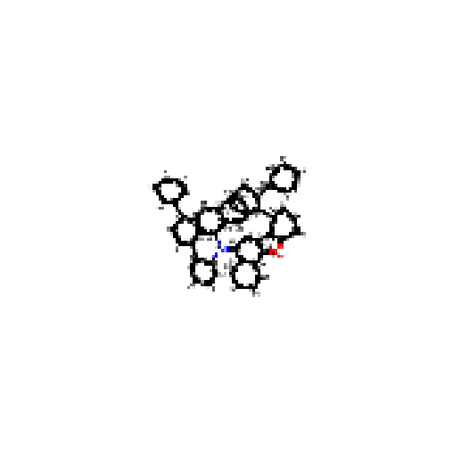 c1ccc(-c2ccc(-c3ccccc3N(c3cccc4ccccc34)c3cc4c(oc5cccc(-c6ccccc6-c6ccccc6)c54)c4ccccc34)cc2)cc1